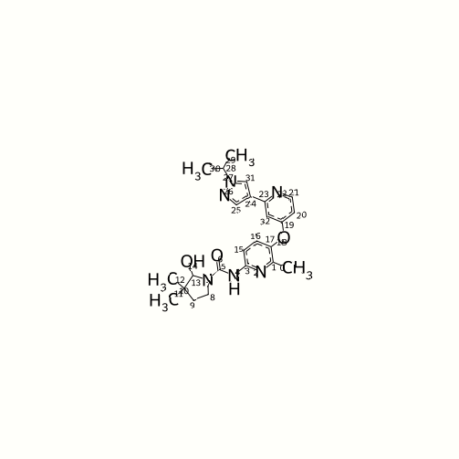 Cc1nc(NC(=O)N2CCC(C)(C)C2O)ccc1Oc1ccnc(-c2cnn(C(C)C)c2)c1